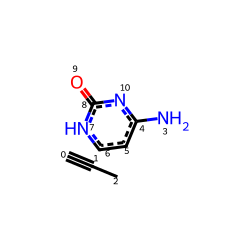 C#CC.Nc1cc[nH]c(=O)n1